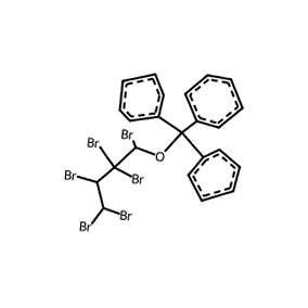 BrC(Br)C(Br)C(Br)(Br)C(Br)OC(c1ccccc1)(c1ccccc1)c1ccccc1